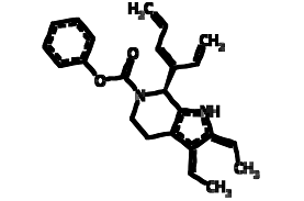 C=C/C=C(\C=C)[C@H]1c2[nH]c(=C/C)/c(=C\C)c2CCN1C(=O)Oc1ccccc1